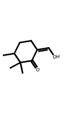 CC1CC/C(=C/O)C(=O)C1(C)C